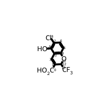 O=C(O)C1=Cc2c(ccc(Cl)c2O)OC1C(F)(F)F